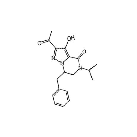 CC(=O)c1nn2c(c1O)C(=O)N(C(C)C)CC2Cc1ccccc1